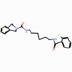 O=C(NCCCCCCNC(=O)N1Cc2ccccc2C1)c1ccccc1F